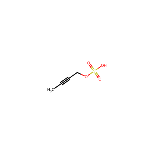 CC#CCOS(=O)(=O)O